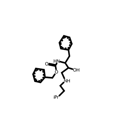 CC(C)CCNCC(O)C(Cc1ccccc1)NC(=O)OCc1ccccc1